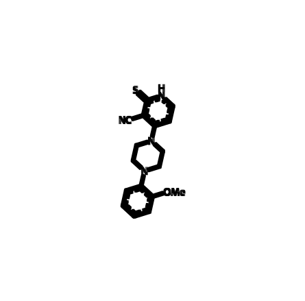 COc1ccccc1N1CCN(c2cc[nH]c(=S)c2C#N)CC1